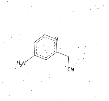 N#CCc1cc(N)ccn1